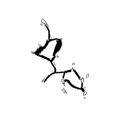 CC(c1ccc(Cl)cc1)c1noc(=O)o1